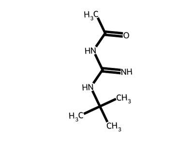 CC(=O)NC(=N)NC(C)(C)C